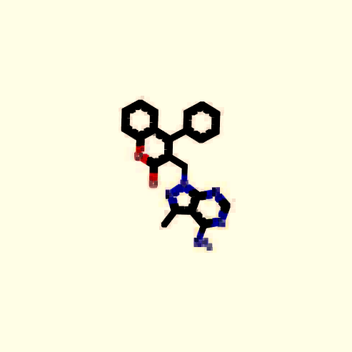 Cc1nn(Cc2c(-c3ccccc3)c3ccccc3oc2=O)c2ncnc(N)c12